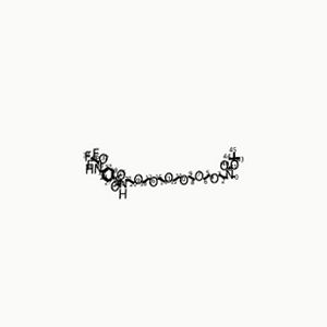 CN(CCOCCOCCOCCOCCOCCOCCNS(=O)(=O)c1ccc(NC(=O)C(F)(F)F)cc1)C(=O)OC(C)(C)C